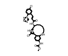 COC(=O)Nc1ccc2c(c1)NCCCCCC(NC(=O)C=Cc1cc(Cl)ccc1-n1cnnn1)c1nc-2c(Cl)[nH]1